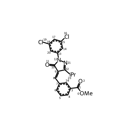 COC(=O)c1cccc(C=C2C(=O)N(c3cc(Cl)cc(Cl)c3)N=C2C(C)C)c1